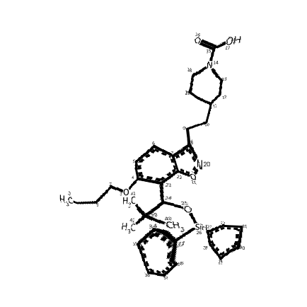 CCCOc1ccc2c(CCC3CCN(C(=O)O)CC3)noc2c1C(O[SiH](c1ccccc1)c1ccccc1)C(C)(C)C